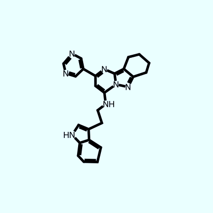 c1ccc2c(CCNc3cc(-c4cncnc4)nc4c5c(nn34)CCCC5)c[nH]c2c1